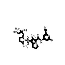 Cc1c(S(=O)(=O)N2C(C)CCC2CC(C)(O)CO)c2n(c1C(=O)Nc1cc(F)nc(C#N)c1)CCC2